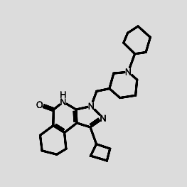 O=c1[nH]c2c(c(C3CCC3)nn2CC2CCCN(C3CCCCC3)C2)c2c1CCCC2